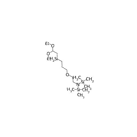 CCOC(C[SiH2]CCCOCCN([Si](C)(C)C)[Si](C)(C)C)OCC